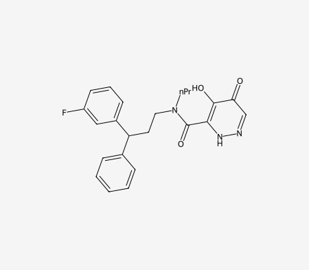 CCCN(CCC(c1ccccc1)c1cccc(F)c1)C(=O)c1[nH]ncc(=O)c1O